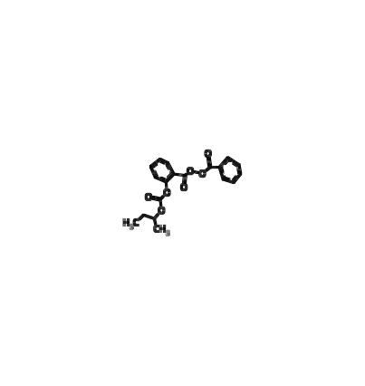 CCC(C)OC(=O)Oc1ccccc1C(=O)OOC(=O)c1ccccc1